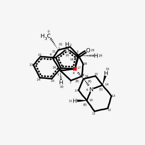 C[C@@H]1C[C@@H]2C[C@H](C1)C[C@@H](N1[C@@H]3CCC[C@H]1C[C@@H](n1c(=O)[nH]c4ccccc41)C3)C2